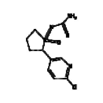 NC(=S)N=S1(=O)CCCC1c1ccc(Cl)nc1